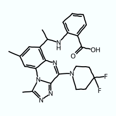 Cc1cc(C(C)Nc2ccccc2C(=O)O)c2nc(N3CCC(F)(F)CC3)c3nnc(C)n3c2c1